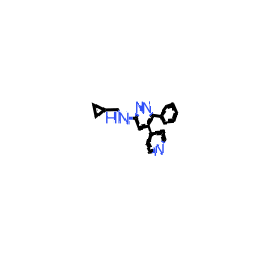 c1ccc(-c2nnc(NCC3CC3)cc2-c2ccncc2)cc1